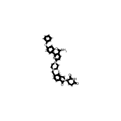 NC(=O)c1ccc(N2CCN(Cc3ccc4c(c3F)CN(C3CCC(=O)NC3=O)C4=O)CC2)nc1-c1ccc(Oc2ccccc2)cc1